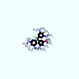 Cc1c(N(C)C)cc([Si](Cl)(c2cc(N(C)C)c(C)c(N(C)C)c2)c2cc(N(C)C)c(C)c(N(C)C)c2)cc1N(C)C